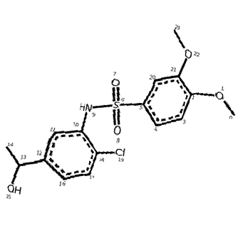 COc1ccc(S(=O)(=O)Nc2cc(C(C)O)ccc2Cl)cc1OC